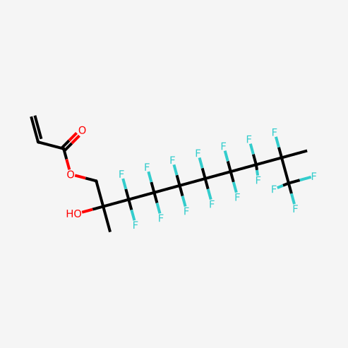 C=CC(=O)OCC(C)(O)C(F)(F)C(F)(F)C(F)(F)C(F)(F)C(F)(F)C(F)(F)C(C)(F)C(F)(F)F